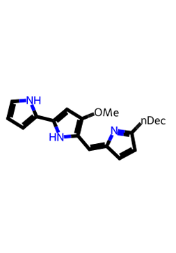 CCCCCCCCCCC1=NC(=Cc2[nH]c(-c3ccc[nH]3)cc2OC)C=C1